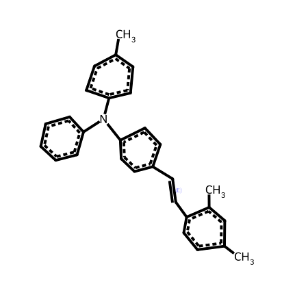 Cc1ccc(N(c2ccccc2)c2ccc(/C=C/c3ccc(C)cc3C)cc2)cc1